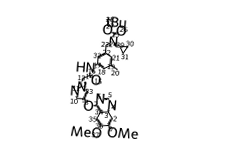 COc1cc2ncnc(Oc3cnn(CC(=O)Nc4cc(C)cc(CN(C(=O)OC(C)(C)C)C5CC5)c4)c3)c2cc1OC